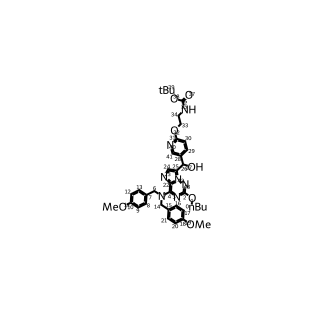 CCCCOc1nc(N(Cc2ccc(OC)cc2)Cc2ccc(OC)cc2)c2ncc(C(O)c3ccc(OCCNC(=O)OC(C)(C)C)nc3)n2n1